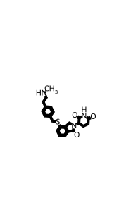 CNCCc1ccc(CSc2cccc3c2CN(C2CCC(=O)NC2=O)C3=O)cc1